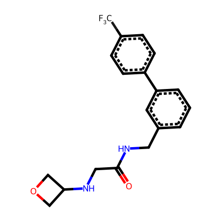 O=C(CNC1COC1)NCc1cccc(-c2ccc(C(F)(F)F)cc2)c1